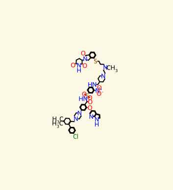 CN(CCCSc1cccc2c1CN(C1CCC(=O)NC1=O)C2=O)CCN1CCC(CNc2ccc(S(=O)(=O)NC(=O)c3ccc(N4CCN(CC5=C(c6ccc(Cl)cc6)CC(C)(C)CC5)CC4)cc3Oc3cnc4[nH]ccc4c3)cc2[N+](=O)[O-])CC1